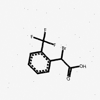 O=C(O)C(Br)c1ccccc1C(F)(F)F